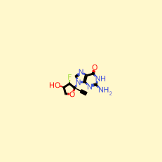 C#C[C@@]1(n2cnc3c(=O)[nH]c(N)nc32)OC[C@@H](O)[C@H]1F